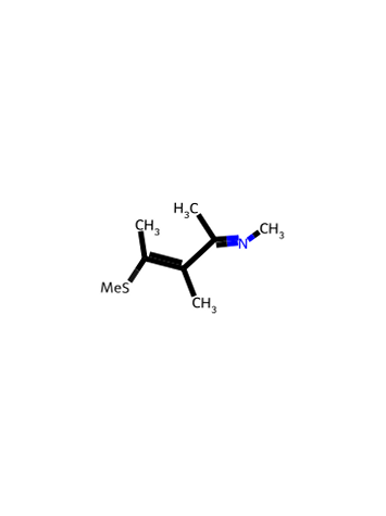 C/N=C(C)/C(C)=C(\C)SC